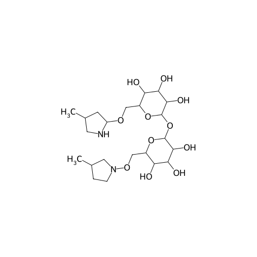 CC1CNC(OCC2OC(OC3OC(CON4CCC(C)C4)C(O)C(O)C3O)C(O)C(O)C2O)C1